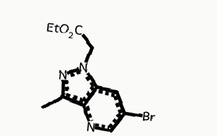 CCOC(=O)Cn1nc(C)c2ncc(Br)cc21